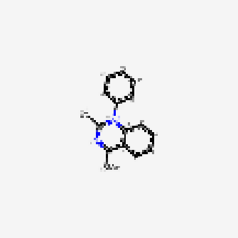 CCc1nc(SC)c2ccccc2[n+]1-c1ccccc1